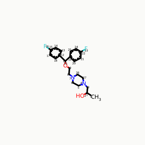 CC(O)CN1CCN(CCOC(c2ccc(F)cc2)c2ccc(F)cc2)CC1